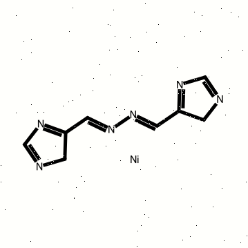 C1=NCC(C=NN=CC2=NC=NC2)=N1.[Ni]